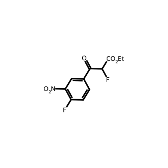 CCOC(=O)C(F)C(=O)c1ccc(F)c([N+](=O)[O-])c1